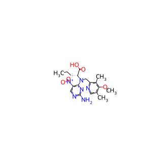 CCC[C@H](C(=O)O)N(Cc1ncc(C)c(OC)c1C)c1nc(N)ncc1[N+](=O)[O-]